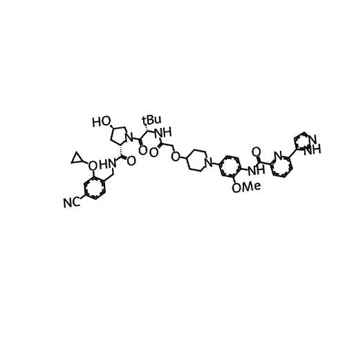 COc1cc(N2CCC(OCC(=O)N[C@H](C(=O)N3C[C@H](O)C[C@H]3C(=O)NCc3ccc(C#N)cc3OC3CC3)C(C)(C)C)CC2)ccc1NC(=O)c1cccc(-c2ccn[nH]2)n1